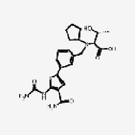 C[C@@H](O)[C@@H](C(=O)O)N(Cc1cccc(-c2cc(C(N)=O)c(NC(N)=O)s2)c1)C1CCCC1